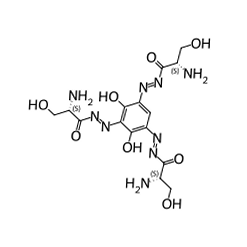 N[C@@H](CO)C(=O)N=Nc1cc(N=NC(=O)[C@@H](N)CO)c(O)c(N=NC(=O)[C@@H](N)CO)c1O